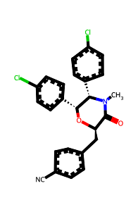 CN1C(=O)[C@@H](Cc2ccc(C#N)cc2)O[C@H](c2ccc(Cl)cc2)[C@@H]1c1ccc(Cl)cc1